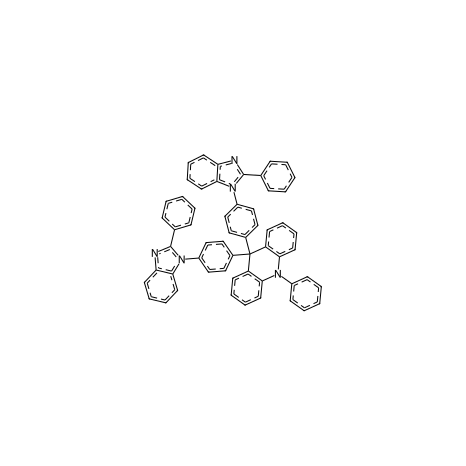 c1ccc(-c2nc3ccccc3n2-c2ccc(C3(c4ccc(-n5c(-c6ccccc6)nc6ccccc65)cc4)c4ccccc4N(c4ccccc4)c4ccccc43)cc2)cc1